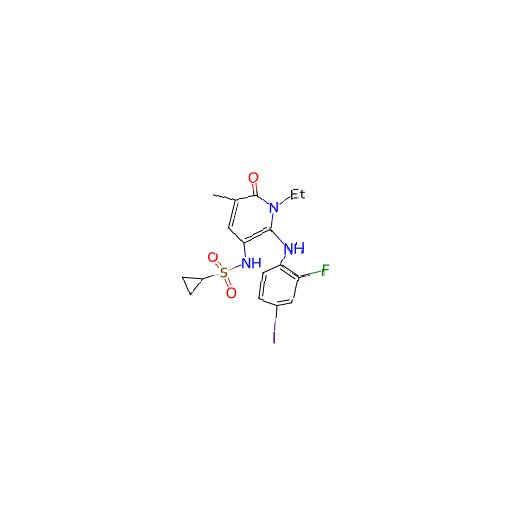 CCn1c(Nc2ccc(I)cc2F)c(NS(=O)(=O)C2CC2)cc(C)c1=O